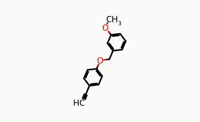 C#Cc1ccc(OCc2cccc(OC)c2)cc1